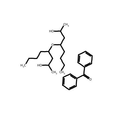 CCCCC(CC(C)O)OC(CCCC)CC(C)O.O=C(c1ccccc1)c1ccccc1